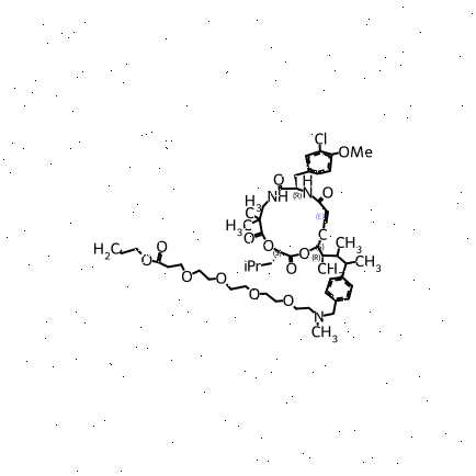 C=CCOC(=O)CCOCCOCCOCCOCCN(C)Cc1ccc(C(C)C(C)[C@@H](C)[C@@H]2C/C=C/C(=O)N[C@H](Cc3ccc(OC)c(Cl)c3)C(=O)NCC(C)(C)C(=O)O[C@@H](CC(C)C)C(=O)O2)cc1